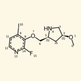 CO[C@@H]1CN[C@H](COc2c(I)ccnc2F)C1